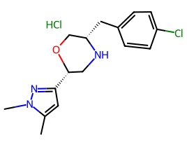 Cc1cc([C@H]2CN[C@@H](Cc3ccc(Cl)cc3)CO2)nn1C.Cl